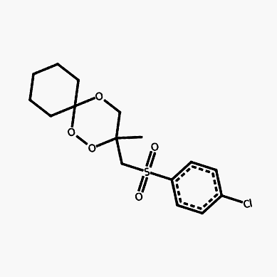 CC1(CS(=O)(=O)c2ccc(Cl)cc2)COC2(CCCCC2)OO1